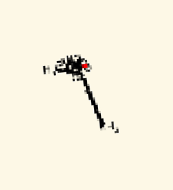 CCCCCCCCCCCCCCCCCC(C(=O)CCCCC)C(C(=O)O)C(O)(CC(=O)O)C(=O)O